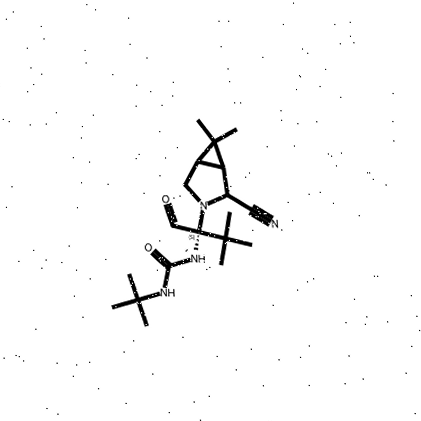 CC(C)(C)NC(=O)N[C@](C=O)(N1CC2C(C1C#N)C2(C)C)C(C)(C)C